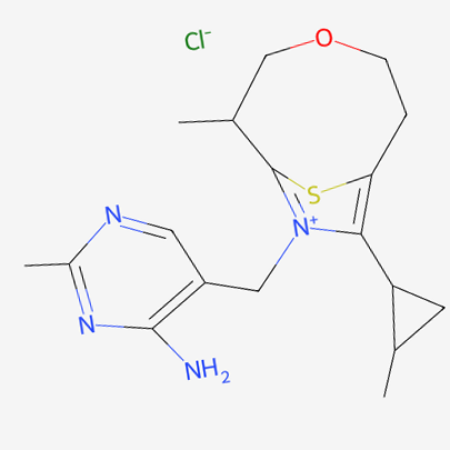 Cc1ncc(C[n+]2c3sc(c2C2CC2C)CCOCC3C)c(N)n1.[Cl-]